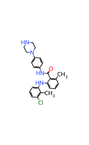 Cc1cccc(Nc2cccc(Cl)c2C)c1C(=O)Nc1ccc(N2CCNCC2)cc1